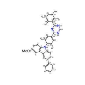 COc1ccc2c(c1)c1cc(-c3ccccc3)ccc1n2-c1c(C)cc(-c2ncnc(-c3c(C)c(C)cc(C)c3C)n2)cc1C